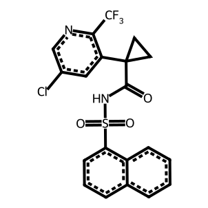 O=C(NS(=O)(=O)c1cccc2ccccc12)C1(c2cc(Cl)cnc2C(F)(F)F)CC1